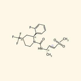 C[C@@H](/C=C/S(C)(=O)=O)NC(=O)N1CC[C@@H](C(F)(F)F)C[C@H]1c1ccccc1F